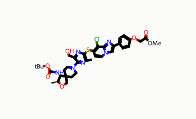 COC(=O)COc1ccc(-c2cn3ccc(Sc4nc(CO)c(N5CCC6(CC5)CO[C@@H](C)[C@H]6NC(=O)OC(C)(C)C)nc4C)c(Cl)c3n2)cc1